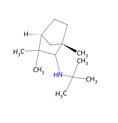 CC(C)(C)NC1C(C)(C)[C@H]2CC[C@@]1(C)C2